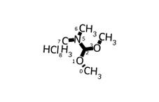 COC(OC)N(C)C.Cl